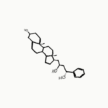 C[C@]12CCC(O)CC1CCC1C2CC[C@@]2(C)C1CC[C@@H]2CC(O)C[C@@H](O)c1ccccc1